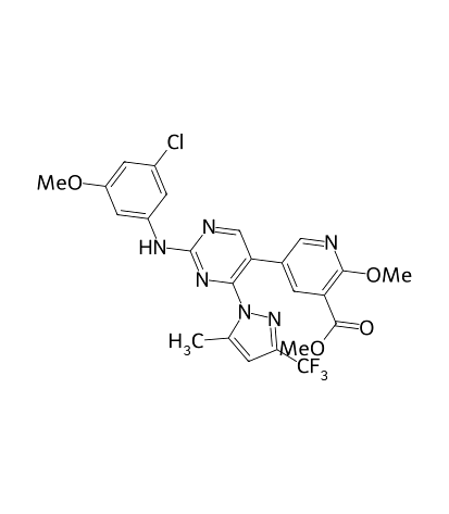 COC(=O)c1cc(-c2cnc(Nc3cc(Cl)cc(OC)c3)nc2-n2nc(C(F)(F)F)cc2C)cnc1OC